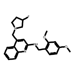 COc1ccc(CNc2cc(CN3CCC(F)C3)c3ccccc3n2)c(OC)c1